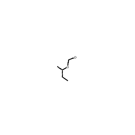 C[CH]C(C)OC[O]